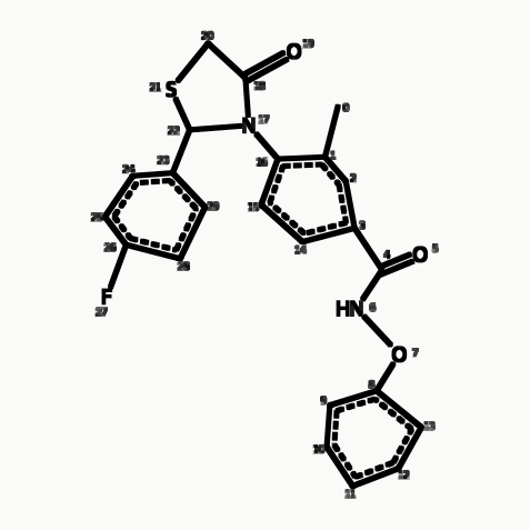 Cc1cc(C(=O)NOc2ccccc2)ccc1N1C(=O)CSC1c1ccc(F)cc1